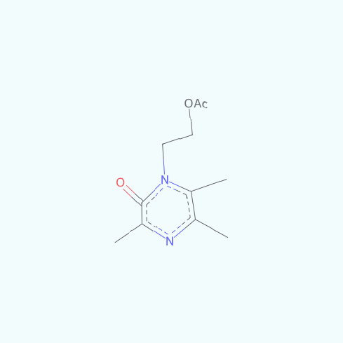 CC(=O)OCCn1c(C)c(C)nc(C)c1=O